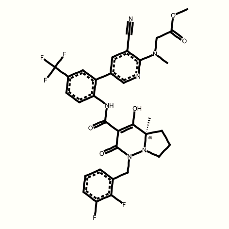 COC(=O)CN(C)c1ncc(-c2cc(C(F)(F)F)ccc2NC(=O)C2=C(O)[C@@]3(C)CCCN3N(Cc3cccc(F)c3F)C2=O)cc1C#N